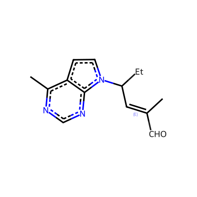 CCC(/C=C(\C)C=O)n1ccc2c(C)ncnc21